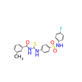 Cc1cccc(C(=O)NC(=S)Nc2ccc(S(=O)(=O)Nc3ccc(F)cc3)cc2)c1